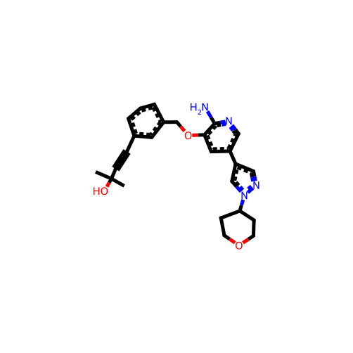 CC(C)(O)C#Cc1cccc(COc2cc(-c3cnn(C4CCOCC4)c3)cnc2N)c1